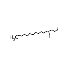 CCCCCCCCCCCCC(I)CCI